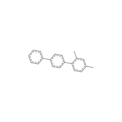 Cc1c[c]c(-c2ccc(-c3ccccc3)cc2)c(C)c1